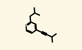 CC(C)C#Cc1ccnc(CC(C)C)c1